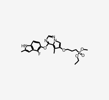 CCOP(=O)(CCCOc1cn2ncnc(Oc3ccc4[nH]c(C)cc4c3F)c2c1C)OC